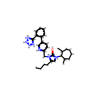 CCCCc1cn(C2C(C)CCCCC2C)c(=O)n1Cc1ccc(-c2ccccc2-c2nnn[nH]2)cn1